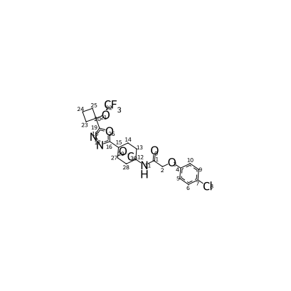 O=C(COc1ccc(Cl)cc1)NC12CCC(c3nnc(C4(OC(F)(F)F)CCC4)o3)(CC1)OC2